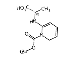 C[C@H](NC1=CC=CCN1C(=O)OC(C)(C)C)C(=O)O